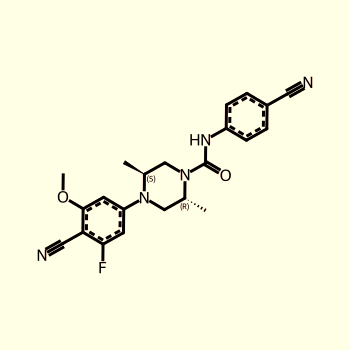 COc1cc(N2C[C@@H](C)N(C(=O)Nc3ccc(C#N)cc3)C[C@@H]2C)cc(F)c1C#N